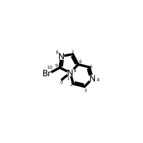 C[N+]12C=CN=CC1=CN=C2Br